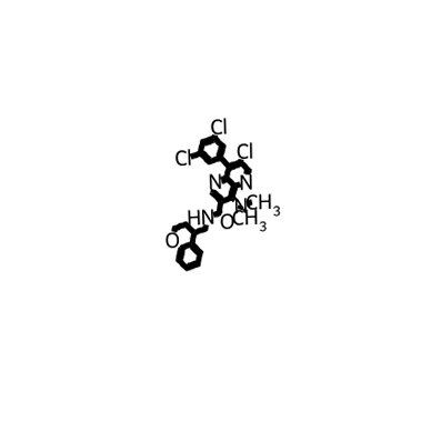 CN(C)c1c(C(=O)NCC2CCOc3ccccc32)cnc2c(-c3cc(Cl)cc(Cl)c3)c(Cl)cnc12